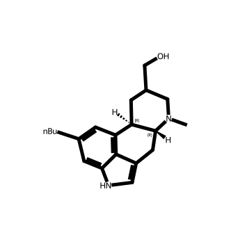 CCCCc1cc2c3c(c[nH]c3c1)C[C@@H]1[C@@H]2CC(CO)CN1C